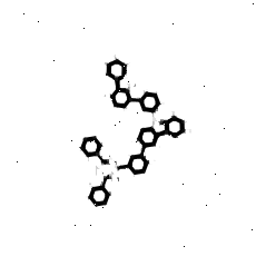 c1ccc(-c2nc(-c3ccccc3)nc(-c3cccc(-c4ccc5c(c4)c4ccccc4n5-c4cccc(-c5cccc6c5oc5ccccc56)c4)c3)n2)cc1